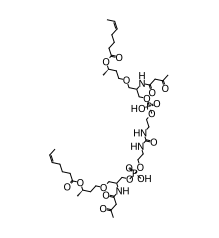 C/C=C\CCCC(=O)O[C@H](C)CCOCC(COP(=O)(O)OCCNC(=O)NCCOP(=O)(O)OCC(COCC[C@@H](C)OC(=O)CCC/C=C\C)NC(=O)CC(C)=O)NC(=O)CC(C)=O